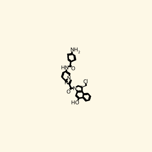 Nc1ccc(C(=O)Nc2ccc3nc(C(=O)N4C[C@@H](CCl)c5c4cc(O)c4ccccc54)cn3c2)cc1